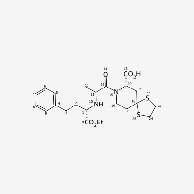 CCOC(=O)[C@H](CCc1ccccc1)NC(C)C(=O)N1CCC2(C[C@H]1C(=O)O)SCCS2